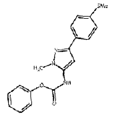 CSc1ccc(-c2cc(NC(=O)Oc3ccccc3)n(C)n2)cc1